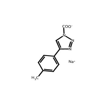 Cc1ccc(-c2cn(C(=O)[O-])nn2)cc1.[Na+]